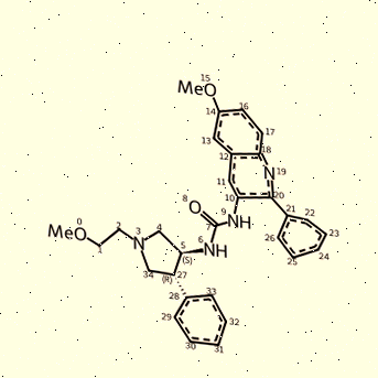 COCCN1C[C@@H](NC(=O)Nc2cc3cc(OC)ccc3nc2-c2ccccc2)[C@H](c2ccccc2)C1